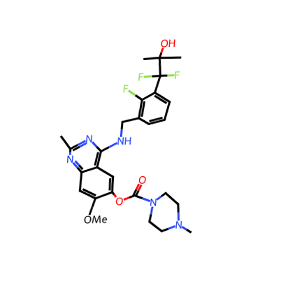 COc1cc2nc(C)nc(NCc3cccc(C(F)(F)C(C)(C)O)c3F)c2cc1OC(=O)N1CCN(C)CC1